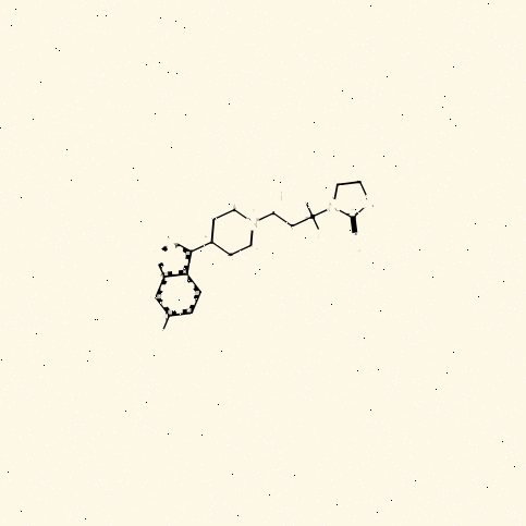 CC(C)(CCN1CCC(c2noc3cc(F)ccc23)CC1)N1CCNC1=O